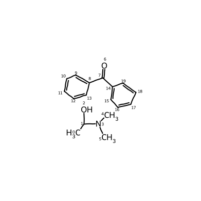 CC(O)N(C)C.O=C(c1ccccc1)c1ccccc1